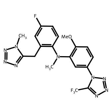 COc1ccc(-n2nnnc2C(F)(F)F)cc1N(C)c1ccc(F)cc1Cc1nnnn1C